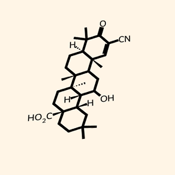 CC1(C)CC[C@]2(C(=O)O)CC[C@]3(C)[C@H](C(O)CC4[C@@]5(C)C=C(C#N)C(=O)C(C)(C)[C@@H]5CC[C@]43C)[C@@H]2C1